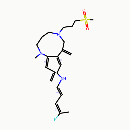 C=C/C=C1\C(=C/CN/C=C/C=C(\C)F)C(=C)CN(CCCS(C)(=O)=O)CCCN1C